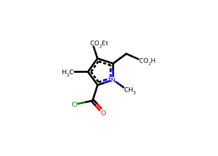 CCOC(=O)c1c(C)c(C(=O)Cl)n(C)c1CC(=O)O